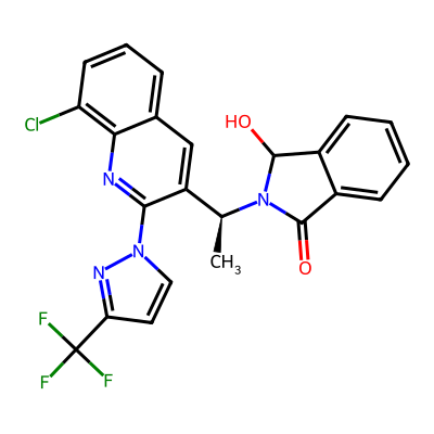 C[C@@H](c1cc2cccc(Cl)c2nc1-n1ccc(C(F)(F)F)n1)N1C(=O)c2ccccc2C1O